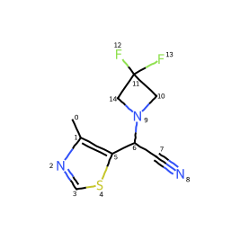 Cc1ncsc1C(C#N)N1CC(F)(F)C1